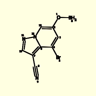 BOc1cc(Br)c2c(C#N)cnn2c1